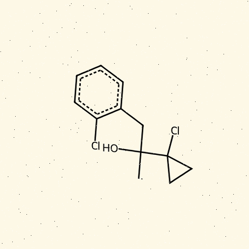 [CH2]C(O)(Cc1ccccc1Cl)C1(Cl)CC1